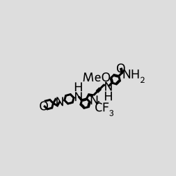 COc1cc(C(N)=O)ccc1NCC#Cc1cc2c(N[C@H]3CC[C@H](N4CC5(CCOCC5)C4)CC3)cccc2n1CC(F)(F)F